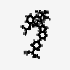 CC(C)c1ncc(-c2ccc3nc4n(c3c2)[C@H]2C[C@H]4[C@H](C(C)(C)O)Sc3cccc(OC(F)F)c32)cn1